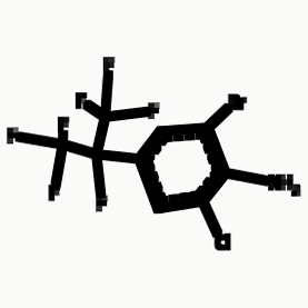 Nc1c(Cl)cc(C(F)(C(F)(F)F)C(F)(F)F)cc1Br